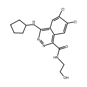 O=C(NCCO)c1nnc(NC2CCCC2)c2cc(Cl)c(Cl)cc12